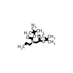 C=CCN(CC(=O)OC(C)(C)C)C(=O)OC(C)(C)C